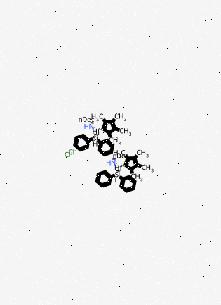 CCCCCCCCCC[NH][Hf+]([C]1=C(C)C(C)=C(C)C1C)[SiH](c1ccccc1)c1ccccc1.CCCCCCCCCC[NH][Hf+]([C]1=C(C)C(C)=C(C)C1C)[SiH](c1ccccc1)c1ccccc1.[Cl-].[Cl-]